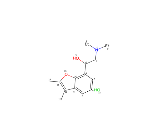 CCN(CC)CC(O)c1cccc2c(C)c(C)oc12.Cl